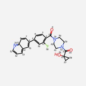 O=C(c1ccc(-c2ccc3ncccc3c2)cc1F)N1CCN(C(=O)C2(O)CC2)CC1